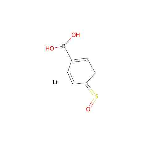 O=S=C1C=CC(B(O)O)=CC1.[Li]